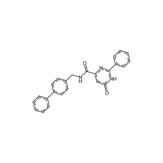 O=C(NCc1ccc(-c2ccccc2)cc1)c1cc(=O)[nH]c(-c2ccccc2)n1